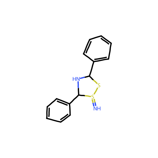 N=S1SC(c2ccccc2)NC1c1ccccc1